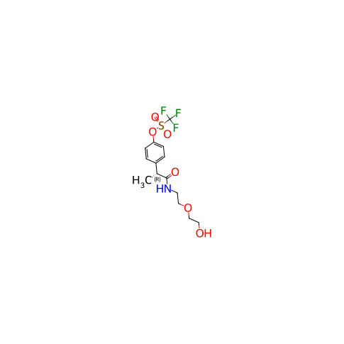 C[C@@H](C(=O)NCCOCCO)c1ccc(OS(=O)(=O)C(F)(F)F)cc1